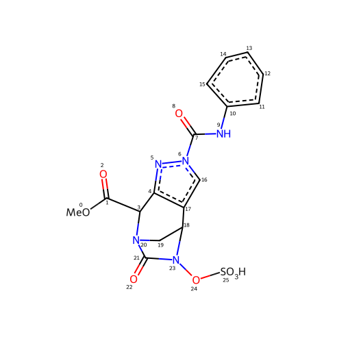 COC(=O)C1c2nn(C(=O)Nc3ccccc3)cc2C2CN1C(=O)N2OS(=O)(=O)O